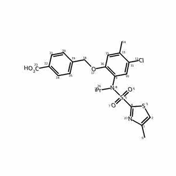 Cc1csc(S(=O)(=O)N(c2cc(Cl)c(C)cc2OCc2ccc(C(=O)O)cc2)C(C)C)n1